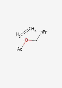 C=C.CCCCOC(C)=O